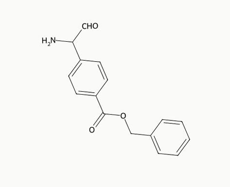 NC(C=O)c1ccc(C(=O)OCc2ccccc2)cc1